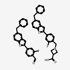 O=C(O)C1CN(Cc2ccc(-c3cc4cc(Cc5ccccc5)ccc4o3)cc2F)C1.O=Cc1ccc(-c2cc3cc(Cc4ccccc4)ccc3o2)cc1F